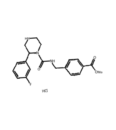 COC(=O)c1ccc(CNC(=O)N2CCNCC2c2cccc(F)c2)cc1.Cl